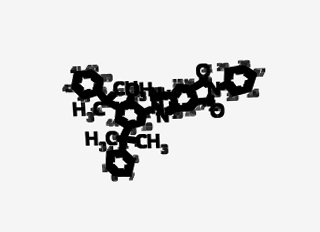 CC(C)(c1ccccc1)c1cc(-n2nc3cc4c(cc3n2)C(=O)N(c2ccccc2)C4=O)c(O)c(C(C)(C)c2ccccc2)c1